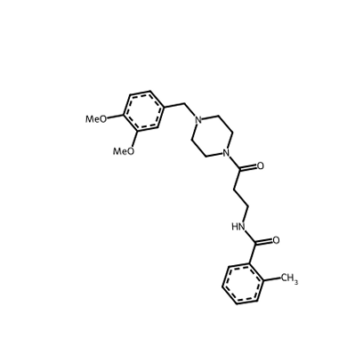 COc1ccc(CN2CCN(C(=O)CCNC(=O)c3ccccc3C)CC2)cc1OC